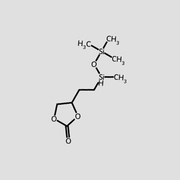 C[SiH](CCC1COC(=O)O1)O[Si](C)(C)C